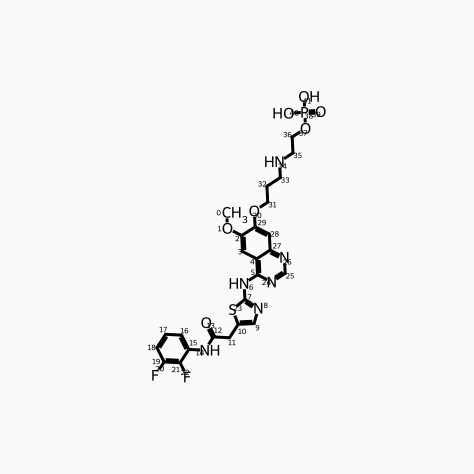 COc1cc2c(Nc3ncc(CC(=O)Nc4cccc(F)c4F)s3)ncnc2cc1OCCCNCCOP(=O)(O)O